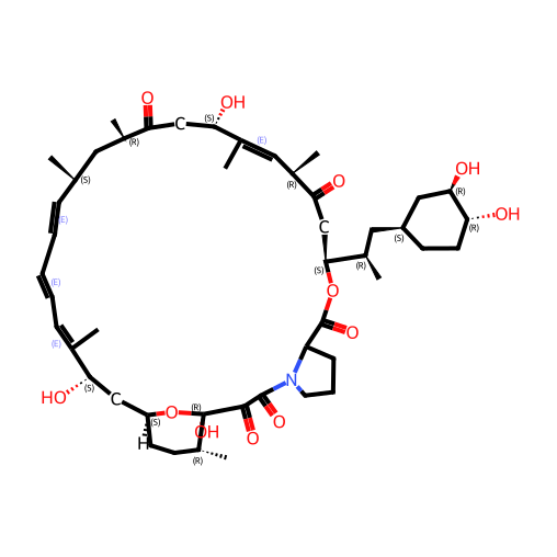 C/C1=C\[C@@H](C)C(=O)C[C@@H]([C@H](C)C[C@@H]2CC[C@@H](O)[C@H](O)C2)OC(=O)C2CCCN2C(=O)C(=O)[C@]2(O)O[C@@H](CC[C@H]2C)C[C@H](O)/C(C)=C/C=C/C=C/[C@@H](C)C[C@@H](C)C(=O)C[C@@H]1O